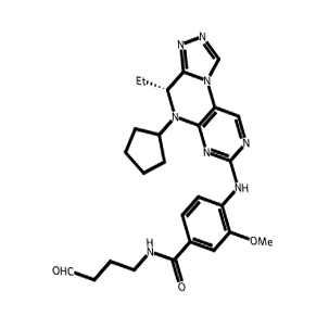 CC[C@@H]1c2nncn2-c2cnc(Nc3ccc(C(=O)NCCCC=O)cc3OC)nc2N1C1CCCC1